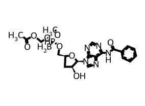 B[PH](OC)(OCOC(C)=O)OC[C@@H]1C[C@H](O)[C@H](n2cnc3c(NC(=O)c4ccccc4)ncnc32)O1